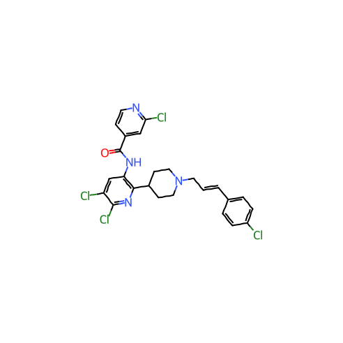 O=C(Nc1cc(Cl)c(Cl)nc1C1CCN(C/C=C/c2ccc(Cl)cc2)CC1)c1ccnc(Cl)c1